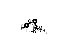 CC(=O)Oc1cc(-c2ccccc2OC(=O)c2ccc(C(F)(F)F)cc2)nn1C(C)=O